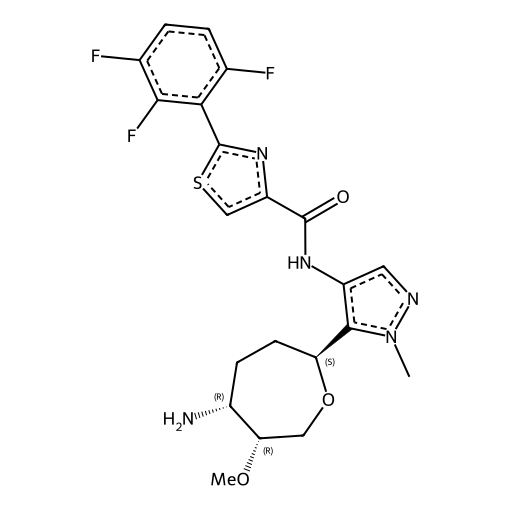 CO[C@H]1CO[C@H](c2c(NC(=O)c3csc(-c4c(F)ccc(F)c4F)n3)cnn2C)CC[C@H]1N